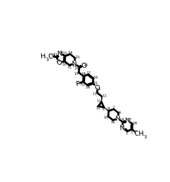 Cc1cnc(N2CCC([C@H]3C[C@H]3CCOc3ccc(CC(=O)N4CCc5nc(C)oc5C4)c(F)c3)CC2)nc1